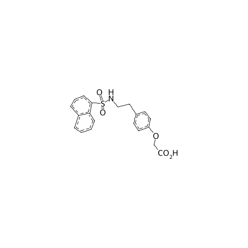 O=C(O)COc1ccc(CCNS(=O)(=O)c2cccc3ccccc23)cc1